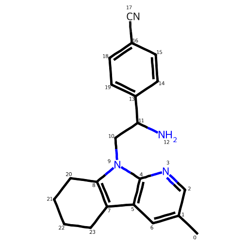 Cc1cnc2c(c1)c1c(n2CC(N)c2ccc(C#N)cc2)CCCC1